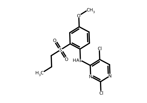 CCCS(=O)(=O)c1cc(OC)ccc1[AsH]c1nc(Cl)ncc1Cl